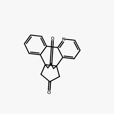 O=C1CC23CC(=O)CC2(C1)c1cccnc1-c1ccccc13